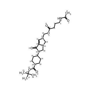 CC(=O)NCCCC(=O)OCN1C=C2C(=O)N(C3CCN(C(=O)OC(C)(C)C)CC3)CN2C1